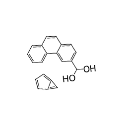 OC(O)c1ccc2ccc3ccccc3c2c1.c1cc2cc-2c1